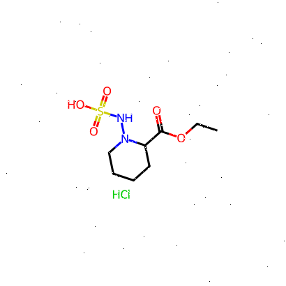 CCOC(=O)C1CCCCN1NS(=O)(=O)O.Cl